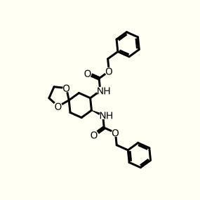 O=C(NC1CC2(CC[C@@H]1NC(=O)OCc1ccccc1)OCCO2)OCc1ccccc1